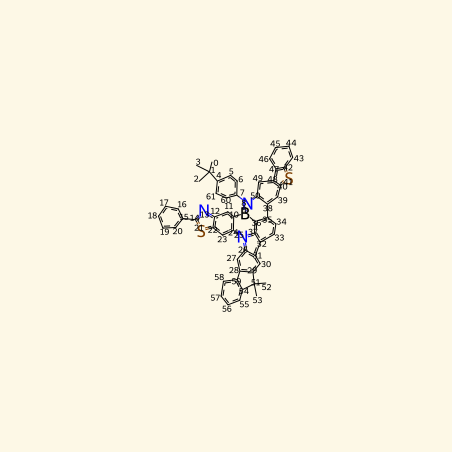 CC(C)(C)c1ccc(N2B3c4cc5nc(-c6ccccc6)sc5cc4-n4c5cc6c(cc5c5ccc(c3c54)-c3cc4sc5ccccc5c4cc32)C(C)(C)c2ccccc2-6)cc1